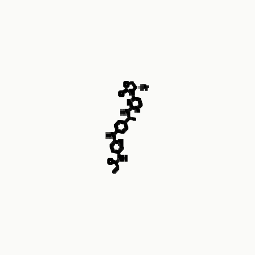 C=CC(=O)Nc1ccc(Nc2ccc([C@H](C)Nc3nccc(N4C(=O)OC[C@@H]4C(C)C)n3)cc2)nc1